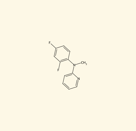 CN(c1ccccn1)c1ccc(F)cc1F